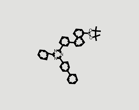 CC1(C)OB(c2cccc3c(-c4cccc(-c5nc(-c6ccccc6)nc(-c6ccc(-c7ccccc7)cc6)n5)c4)cccc23)OC1(C)C